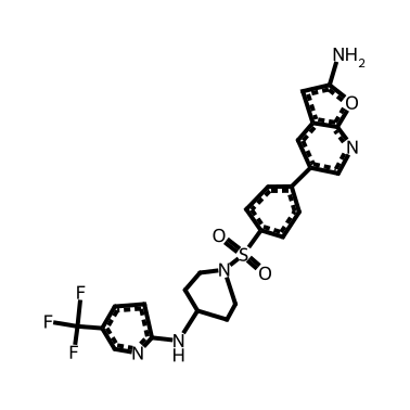 Nc1cc2cc(-c3ccc(S(=O)(=O)N4CCC(Nc5ccc(C(F)(F)F)cn5)CC4)cc3)cnc2o1